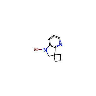 BrN1CC2(CCC2)c2ncccc21